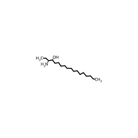 CCCCCCCCCCCCCC[C@@H](O)[C@@H](N)CC